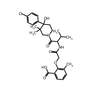 Cc1cccc(C(=O)O)c1OCC(=O)NC(C(=O)N1CCC(O)(c2ccc(Cl)cc2)C(C)(C)C1)C(C)C